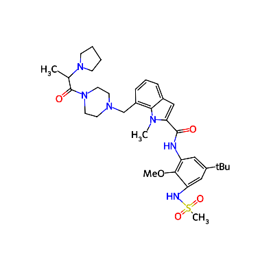 COc1c(NC(=O)c2cc3cccc(CN4CCN(C(=O)C(C)N5CCCC5)CC4)c3n2C)cc(C(C)(C)C)cc1NS(C)(=O)=O